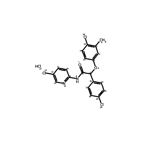 Cc1cc(OC(C(=O)Nc2ccc(Cl)cn2)c2ccc(Cl)cc2)ccc1Cl.Cl